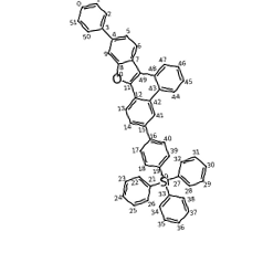 c1ccc(-c2ccc3c(c2)oc2c4ccc(-c5ccc([Si](c6ccccc6)(c6ccccc6)c6ccccc6)cc5)cc4c4ccccc4c32)cc1